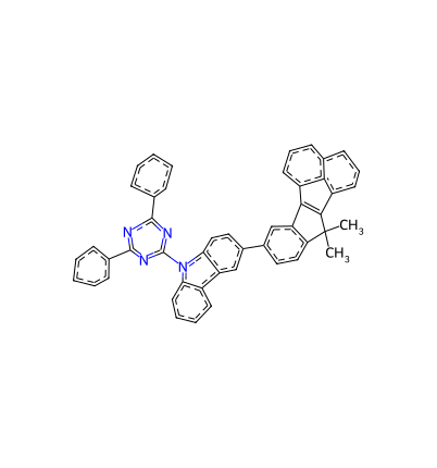 CC1(C)C2=C(c3cc(-c4ccc5c(c4)c4ccccc4n5-c4nc(-c5ccccc5)nc(-c5ccccc5)n4)ccc31)c1cccc3cccc2c13